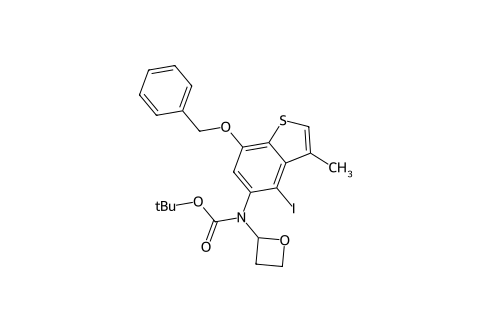 Cc1csc2c(OCc3ccccc3)cc(N(C(=O)OC(C)(C)C)C3CCO3)c(I)c12